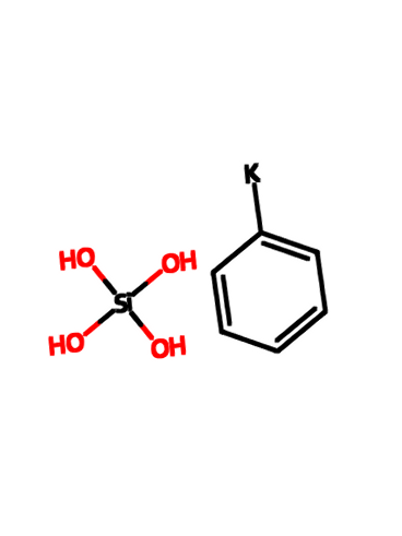 O[Si](O)(O)O.[K][c]1ccccc1